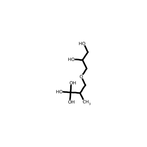 CC(COCC(O)CO)C(O)(O)O